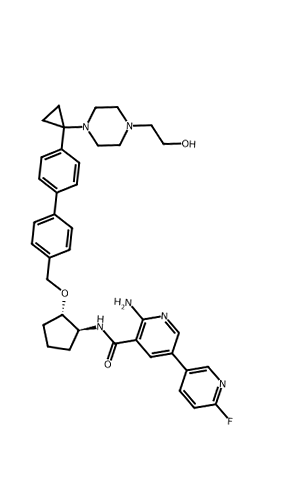 Nc1ncc(-c2ccc(F)nc2)cc1C(=O)N[C@H]1CCC[C@@H]1OCc1ccc(-c2ccc(C3(N4CCN(CCO)CC4)CC3)cc2)cc1